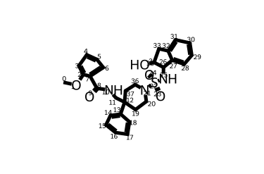 COc1ccccc1C(=O)NCC1(c2ccccc2)CCN(S(=O)(=O)NC2c3ccccc3CC2O)CC1